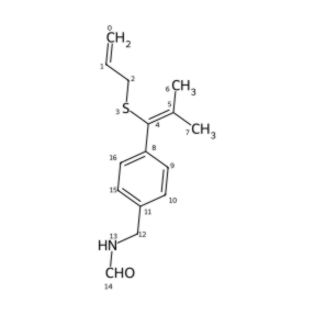 C=CCSC(=C(C)C)c1ccc(CNC=O)cc1